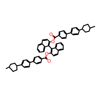 CC1CCC(c2ccc(-c3ccc(C(=O)Oc4ccc5ccccc5c4-c4c(OC(=O)c5ccc(-c6ccc(C7CCC(C)CC7)cc6)cc5)ccc5ccccc45)cc3)cc2)CC1